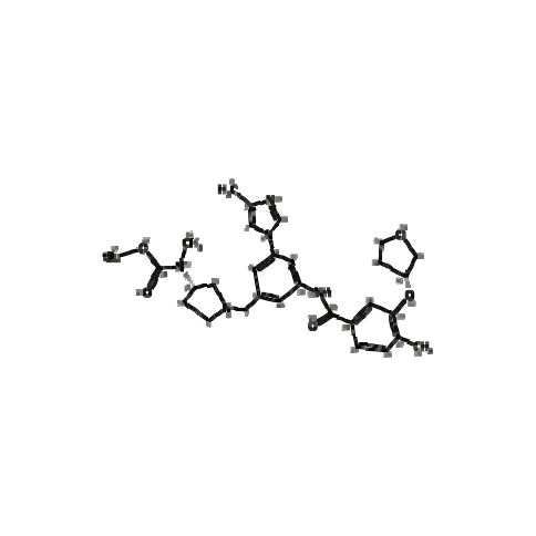 Cc1cn(-c2cc(CN3CC[C@H](N(C)C(=O)OC(C)(C)C)C3)cc(NC(=O)c3ccc(C)c(O[C@@H]4CCOC4)c3)c2)cn1